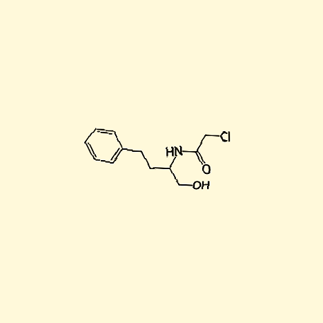 O=C(CCl)NC(CO)CCc1ccccc1